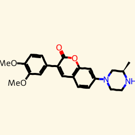 COc1ccc(-c2cc3ccc(N4CCN[C@H](C)C4)cc3oc2=O)cc1OC